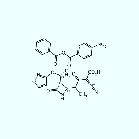 CC(C(=O)C(=[N+]=[N-])C(=O)O)[C@H]1NC(=O)[C@@H]1[C@@H](C)Oc1ccon1.O=C(OC(=O)c1ccc([N+](=O)[O-])cc1)c1ccccc1